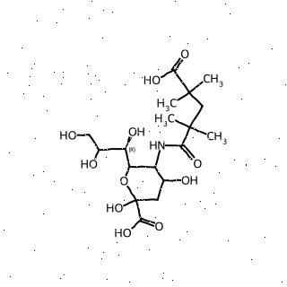 CC(C)(CC(C)(C)C(=O)NC1C(O)CC(O)(C(=O)O)OC1[C@H](O)C(O)CO)C(=O)O